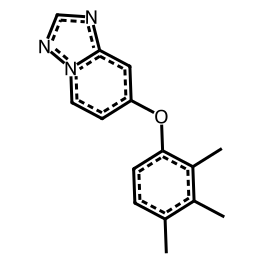 Cc1ccc(Oc2ccn3ncnc3c2)c(C)c1C